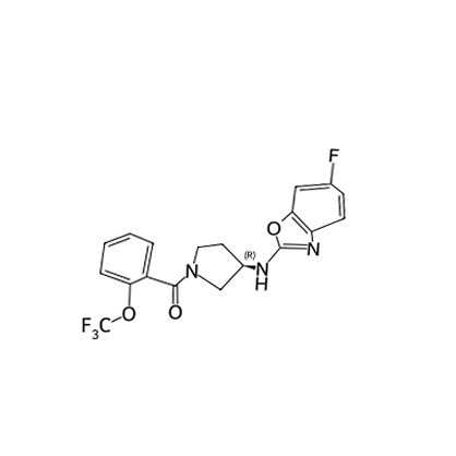 O=C(c1ccccc1OC(F)(F)F)N1CC[C@@H](Nc2nc3ccc(F)cc3o2)C1